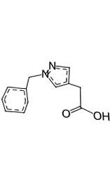 O=C(O)Cc1cnn(Cc2ccccc2)c1